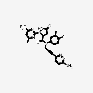 Cc1cc(C(F)(F)F)nc(N2NC(=O)CC2C(=O)N(CC#Cc2ccc(N)nn2)c2ccc(Cl)c(C)c2)n1